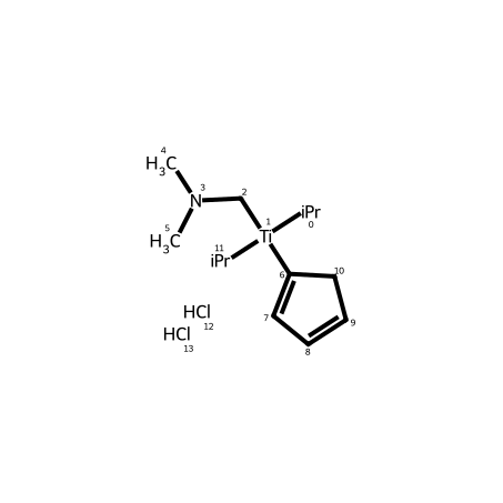 C[CH](C)[Ti]([CH2]N(C)C)([C]1=CC=CC1)[CH](C)C.Cl.Cl